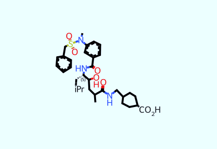 CC(C)C[C@H](NC(=O)c1cccc(N(C)S(=O)(=O)Cc2ccccc2)c1)C(O)CC(C)C(=O)NCC1CCC(C(=O)O)CC1